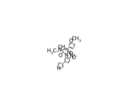 CCN(C)c1cc(-c2cccc(OC)c2)nn(-c2cc(-c3ccncc3)ccc2[N+](=O)[O-])c1=O